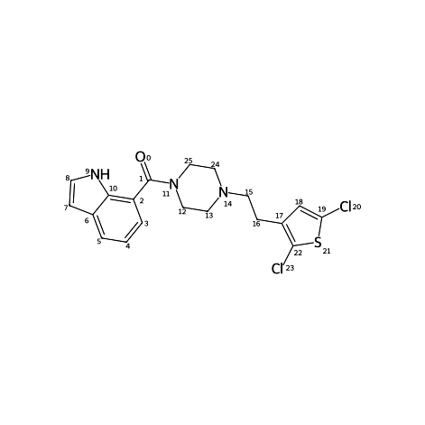 O=C(c1cccc2cc[nH]c12)N1CCN(CCc2cc(Cl)sc2Cl)CC1